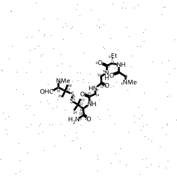 CC[C@H](NC(=O)CNC)C(=O)NCC(=O)NCC(=O)NC(C(N)=O)C(C)(C)SSC(C)(C)C(C=O)NC